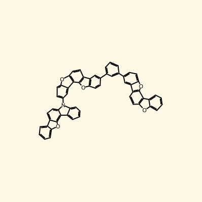 c1cc(-c2ccc3oc4c(ccc5oc6ccccc6c54)c3c2)cc(-c2ccc3oc4c(ccc5oc6ccc(-n7c8ccccc8c8c9oc%10ccccc%10c9ccc87)cc6c54)c3c2)c1